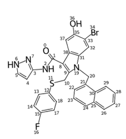 O=C(Nc1cc[nH]n1)c1c(CSc2ccc(F)cc2)n(Cc2cccc3ccccc23)c2cc(Br)c(O)cc12